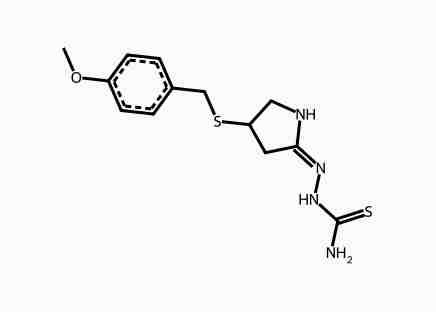 COc1ccc(CSC2CNC(=NNC(N)=S)C2)cc1